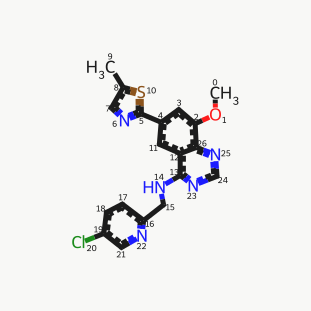 COc1cc(-c2ncc(C)s2)cc2c(NCc3ccc(Cl)cn3)ncnc12